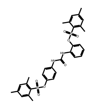 Cc1cc(C)c(S(=O)(=O)Oc2ccc(NC(=O)Nc3ccccc3OS(=O)(=O)c3c(C)cc(C)cc3C)cc2)c(C)c1